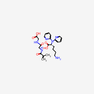 C=C(C)C(=O)NCC(=O)NCC(=O)O.NCCCC[C@@H](C(=O)O)N(c1ccccn1)c1ccccn1